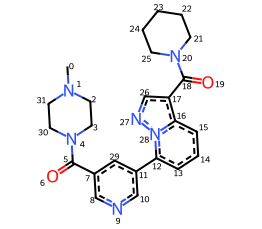 CN1CCN(C(=O)c2cncc(-c3cccc4c(C(=O)N5CCCCC5)cnn34)c2)CC1